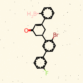 Bc1ccccc1C1=CC(=O)CC(c2cc(-c3cccc(F)c3)ccc2Br)C1